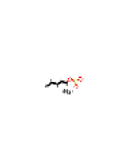 CCCCCOS(=O)[O-].[Na+]